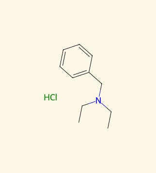 CCN(CC)Cc1ccccc1.Cl